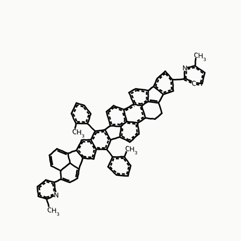 Cc1cccc(C2=CC=C3c4cc5c(-c6ccccc6C)c6c(c(-c7ccccc7C)c5cc4C4=CC=CC2C34)-c2ccc3c4ccc5c7c4c(c4ccc-6c2c43)CCC=7c2cc(-c3cccc(C)n3)ccc2-5)n1